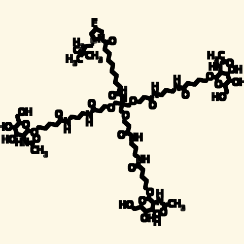 CC(=O)NC1C(OCCCCC(=O)NCCCNC(=O)CCOCC(COCCC(=O)NCCCNC(=O)CCCCOC2OC(CO)C(O)C(O)C2NC(C)=O)(COCCC(=O)NCCCNC(=O)CCCCOC2OC(CO)C(O)C(O)C2NC(C)=O)NC(=O)CCCCCCCCC(=O)N2CC(F)C[C@H]2CCC(C)(C)C)OC(CO)C(O)C1O